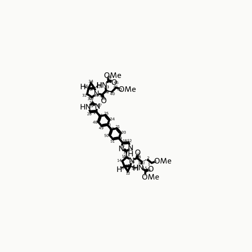 COCC[C@H](NC(=O)OC)C(=O)N1[C@@H]2C[C@@H]2C[C@H]1c1nc(-c2ccc(-c3ccc(-c4c[nH]c([C@@H]5C[C@H]6C[C@H]6N5C(=O)[C@H](CCOC)NC(=O)OC)n4)cc3)cc2)c[nH]1